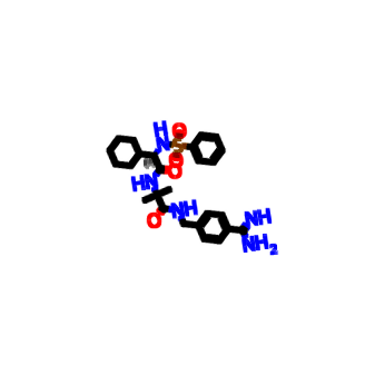 CC(C)(NC(=O)[C@H](NS(=O)(=O)c1ccccc1)C1CCCCC1)C(=O)NCc1ccc(C(=N)N)cc1